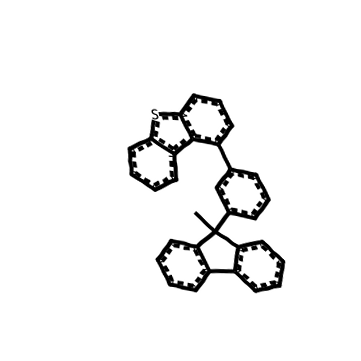 CC1(c2cccc(-c3cccc4sc5ccccc5c34)c2)c2ccccc2-c2ccccc21